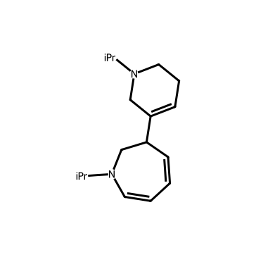 CC(C)N1C=CC=CC(C2=CCCN(C(C)C)C2)C1